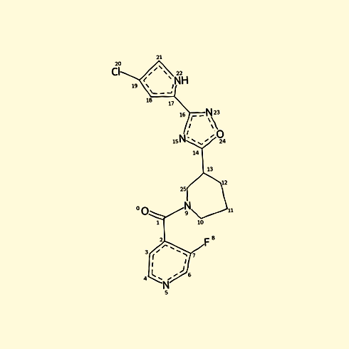 O=C(c1ccncc1F)N1CCCC(c2nc(-c3cc(Cl)c[nH]3)no2)C1